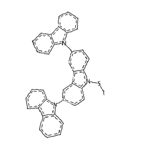 ISn1c2ccc(-n3c4ccccc4c4ccccc43)cc2c2cc(-n3c4ccccc4c4ccccc43)ccc21